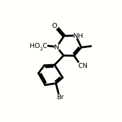 CC1=C(C#N)C(c2cccc(Br)c2)N(C(=O)O)C(=O)N1